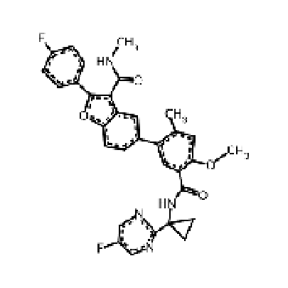 CNC(=O)c1c(-c2ccc(F)cc2)oc2ccc(-c3cc(C(=O)NC4(c5ncc(F)cn5)CC4)c(OC)cc3C)cc12